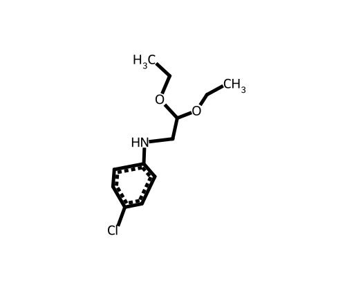 CCOC(CNc1ccc(Cl)cc1)OCC